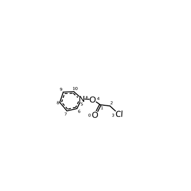 O=C(CCl)O[n+]1ccccc1